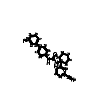 N#Cc1nccc(C2(NC(=O)Nc3ccc(-c4cccc(F)c4)cc3)CCCCC2)n1